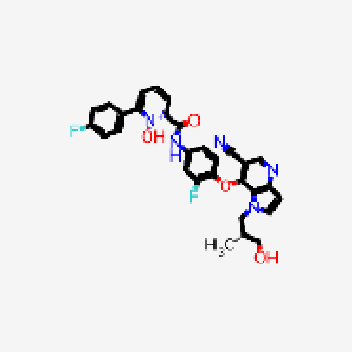 C[C@@H](CO)Cn1ccc2ncc(C#N)c(Oc3ccc(NC(=O)c4cccc(-c5ccc(F)cc5)[n+]4O)cc3F)c21